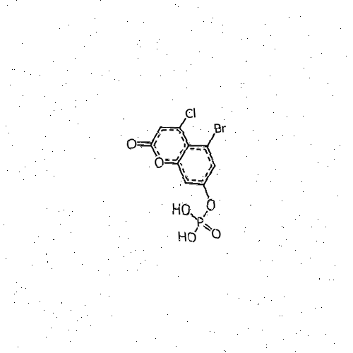 O=c1cc(Cl)c2c(Br)cc(OP(=O)(O)O)cc2o1